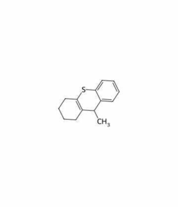 CC1C2=C(CCCC2)Sc2ccccc21